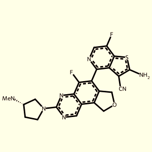 CN[C@H]1CCN(c2ncc3c4c(c(-c5ncc(F)c6sc(N)c(C#N)c56)c(F)c3n2)COC4)C1